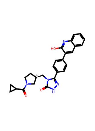 O=C(C1CC1)N1CC[C@@H](Cn2c(-c3ccc(-c4cc5ccccc5nc4O)cc3)n[nH]c2=O)C1